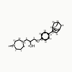 CN1CCCN(CC(O)COc2ccc(C34CC5CC(CC3C5)C4)cc2)CC1